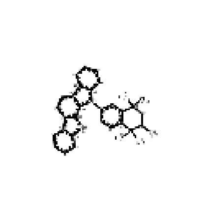 CC1CC(C)(C)c2cc(-n3c4ccccc4c4ccc5c6ccccc6[nH]c5c43)ccc2C1(C)C